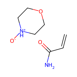 C=CC(N)=O.[O-][NH+]1CCOCC1